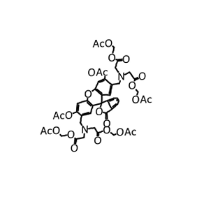 CC(=O)OCOC(=O)CN(CC(=O)OCOC(C)=O)Cc1cc2c(cc1OC(C)=O)Oc1cc(OC(C)=O)c(CN(CC(=O)OCOC(C)=O)CC(=O)OCOC(C)=O)cc1C21OC(=O)c2ccccc21